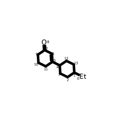 CCC1CCC(C2=CC(=O)CCC2)CC1